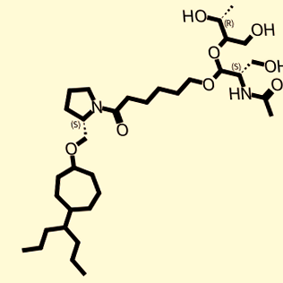 CCCC(CCC)C1CCCC(OC[C@@H]2CCCN2C(=O)CCCCCOC(OC(CO)[C@@H](C)O)[C@H](CO)NC(C)=O)CC1